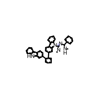 C=N/C(=N\C(NC)c1ccccc1)n1c2ccccc2c2ccc(-c3ccccc3-c3ccc4c(c3)[nH]c3ccccc34)cc21